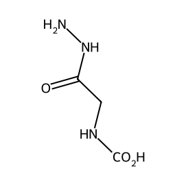 NNC(=O)CNC(=O)O